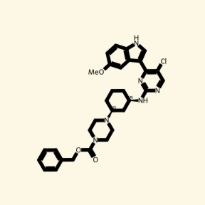 COc1ccc2[nH]cc(-c3nc(N[C@@H]4CCC[C@H](N5CCN(C(=O)OCc6ccccc6)CC5)C4)ncc3Cl)c2c1